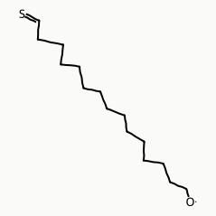 [O]CCCCCCCCCCCCCCC=S